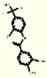 COc1ccc(C(=O)Nc2ccc(C(C)(C)C#N)cc2Cl)cc1OC